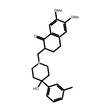 COc1cc2c(cc1OC)C(=O)C(CN1CCC(O)(c3cccc(C)c3)CC1)CC2